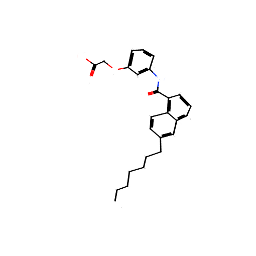 CCCCCCCc1ccc2c(C(=O)Nc3cccc(OCC(=O)O)c3)cccc2c1